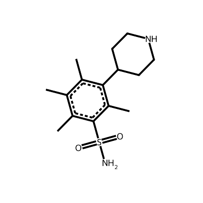 Cc1c(C)c(C2CCNCC2)c(C)c(S(N)(=O)=O)c1C